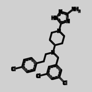 Nc1n[nH]c(N2CCC(N(CCc3ccc(Cl)cc3)Cc3cc(Cl)cc(Cl)c3)CC2)n1